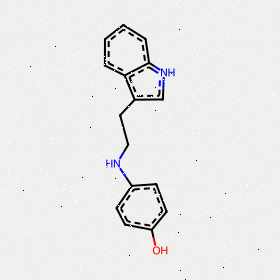 Oc1ccc(NCCc2c[nH]c3ccccc23)cc1